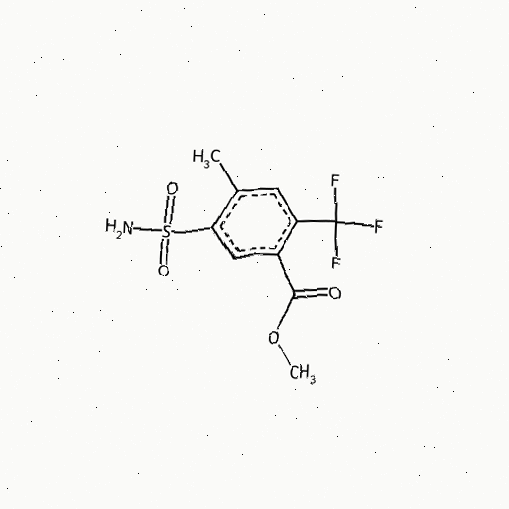 COC(=O)c1cc(S(N)(=O)=O)c(C)cc1C(F)(F)F